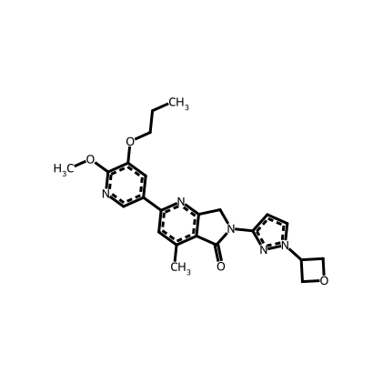 CCCOc1cc(-c2cc(C)c3c(n2)CN(c2ccn(C4COC4)n2)C3=O)cnc1OC